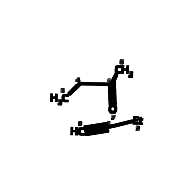 C#CCC.CCC(C)=O